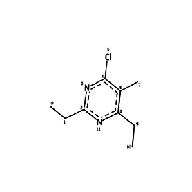 CCc1nc(Cl)c(C)c(CC)n1